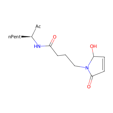 CCCCC[C@H](NC(=O)CCCN1C(=O)C=CC1O)C(C)=O